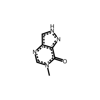 Cn1cnc2c[nH]nc2c1=O